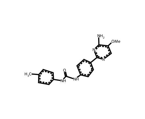 COc1cnc(-c2ccc(NC(=O)Nc3ccc(C)cc3)cc2)nc1N